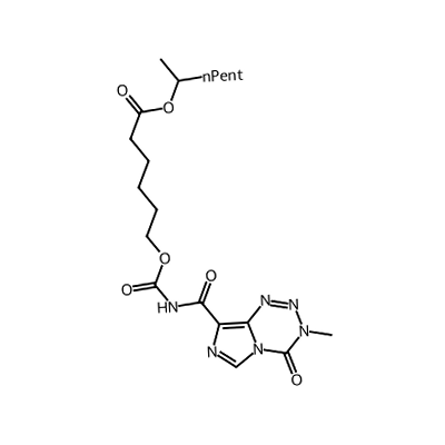 CCCCCC(C)OC(=O)CCCCCOC(=O)NC(=O)c1ncn2c(=O)n(C)nnc12